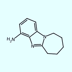 Nc1cccc2c1nc1n2CCCCC1